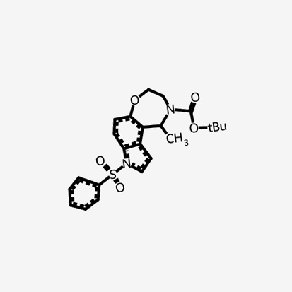 CC1c2c(ccc3c2ccn3S(=O)(=O)c2ccccc2)OCCN1C(=O)OC(C)(C)C